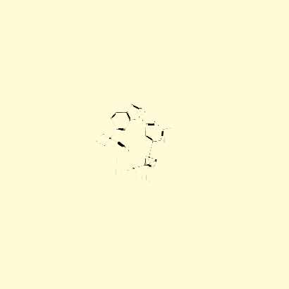 CSc1nc(N2CC3(C(C)(C)O)CC2C3)cc(-n2ncc3ccc(C4(C#N)CCC4)cc32)n1